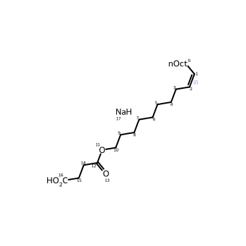 CCCCCCCC/C=C\CCCCCCCCOC(=O)CCC(=O)O.[NaH]